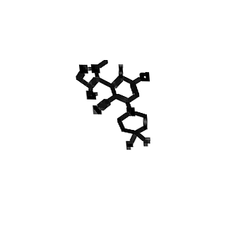 Cc1c(Cl)cc(N2CCC(F)(F)CC2)c(C#N)c1-c1c(Br)cnn1C